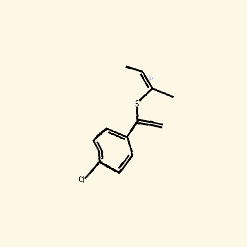 C=C(S/C(C)=C\C)c1ccc(Cl)cc1